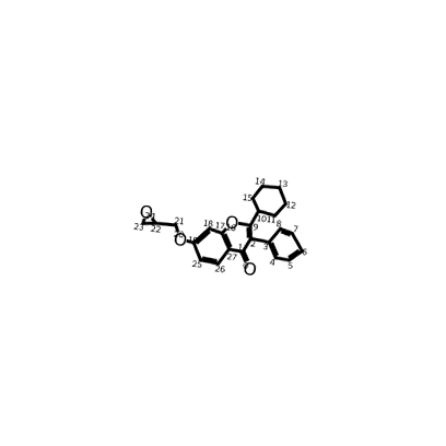 O=c1c(-c2ccccc2)c(C2CCCCC2)oc2cc(OCC3CO3)ccc12